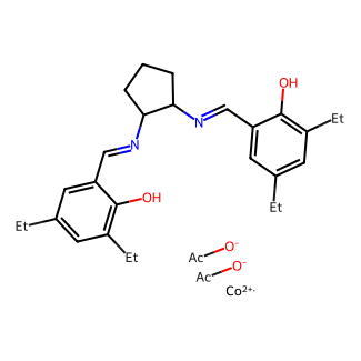 CC(=O)[O-].CC(=O)[O-].CCc1cc(C=NC2CCCC2N=Cc2cc(CC)cc(CC)c2O)c(O)c(CC)c1.[Co+2]